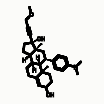 COCC#C[C@]1(O)CC[C@H]2[C@@H]3CCC4=CC(O)CC[C@]4(C)[C@H]3[C@@H](c3ccc(N(C)C)cc3)C[C@@]21C